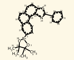 CC1(C)OB(c2ccc3c(ccc4ccc5sc(-c6ccccc6)nc5c43)c2)OC1(C)C